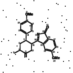 COc1ccc(C2CC(C)NCC2C2=NC(=O)c3ccc(OC)cc32)cc1